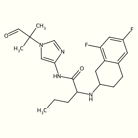 CCCC(NC1CCc2cc(F)cc(F)c2C1)C(=O)Nc1cn(C(C)(C)C=O)cn1